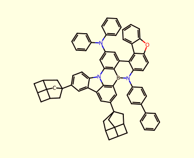 c1ccc(-c2ccc(N3B4c5c(cc(N(c6ccccc6)c6ccccc6)cc5-n5c6ccc(C78CC9CC%10CC(C7)C%109C8)cc6c6cc(C78CC9CC%10CC(C7)C%109C8)cc4c65)-c4c3ccc3oc5ccccc5c43)cc2)cc1